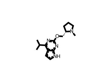 CC(C)c1nc(OC[C@@H]2CCCN2C)nc2[nH]ccc12